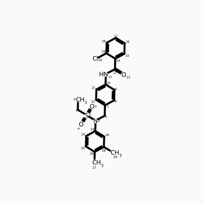 CCS(=O)(=O)N(Cc1ccc(NC(=O)c2ccccc2Cl)cc1)c1ccc(C)c(C)c1